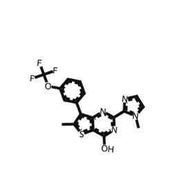 Cc1sc2c(O)nc(-c3nccn3C)nc2c1-c1cccc(OC(F)(F)F)c1